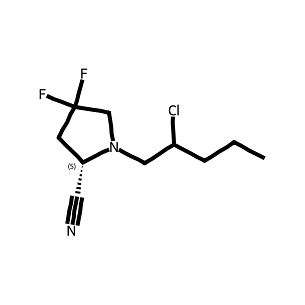 CCCC(Cl)CN1CC(F)(F)C[C@H]1C#N